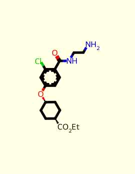 CCOC(=O)[C@H]1CC[C@@H](Oc2ccc(C(=O)NCCN)c(Cl)c2)CC1